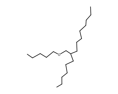 CCCCCCCCC(CCCCCC)COCCCCC